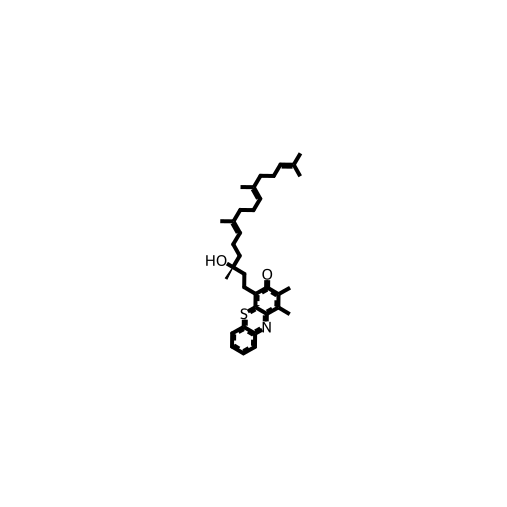 CC(C)=CCC/C(C)=C/CC/C(C)=C/CC[C@@](C)(O)CCc1c2sc3ccccc3nc-2c(C)c(C)c1=O